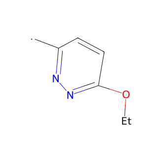 [CH2]c1ccc(OCC)nn1